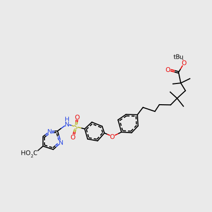 CC(C)(CCCCc1ccc(Oc2ccc(S(=O)(=O)Nc3ncc(C(=O)O)cn3)cc2)cc1)CC(C)(C)C(=O)OC(C)(C)C